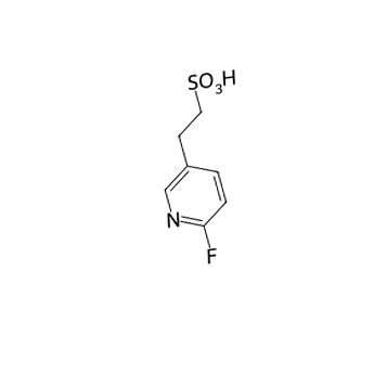 O=S(=O)(O)CCc1ccc(F)nc1